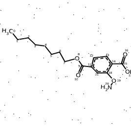 CCCCCCCCOC(=O)c1ccc(C(=O)O)c(ON)c1